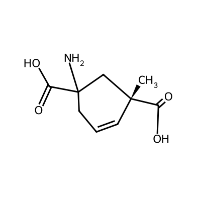 C[C@@]1(C(=O)O)C=CCC(N)(C(=O)O)C1